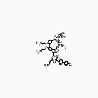 CN(C(=O)[C@H](CCCCN)NC(=O)c1ccc(-c2ccc(Cl)cc2)cc1)[C@@H]1C(=O)N[C@@H](N)C(=O)N[C@H](C(=O)NCB(O)O)Cc2ccc(OCCN)c(c2)-c2cc1ccc2OCCN